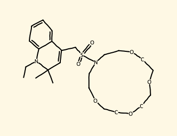 CCN1c2ccccc2C(CS(=O)(=O)N2CCOCCOCCOCCOCC2)=CC1(C)C